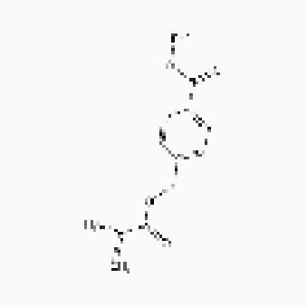 C=C(C)C(=O)OCc1ccc(C(=O)OCCC)cc1